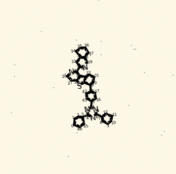 c1ccc(-c2nc(-c3ccccc3)nc(-c3ccc(-c4cccc5c4sc4ccnc(-c6cc7ccccc7cn6)c45)cc3)n2)cc1